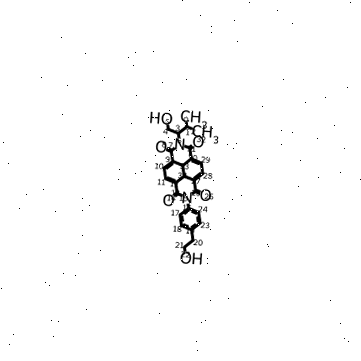 CC(C)C(CO)N1C(=O)C2=CC=C3C(=O)N(c4ccc(CCO)cc4)C(=O)C4=CC=C(C1=O)C2C34